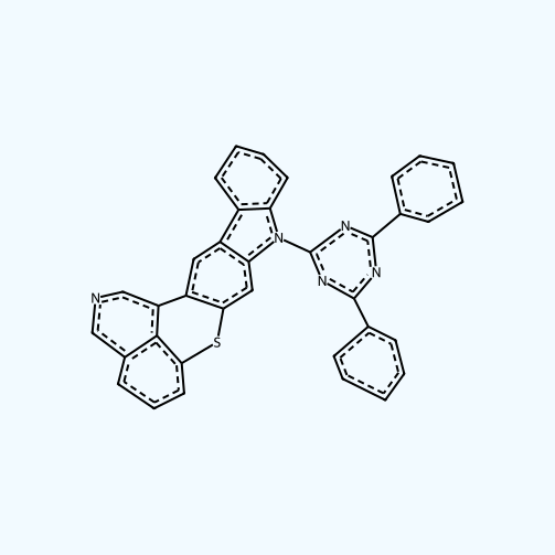 c1ccc(-c2nc(-c3ccccc3)nc(-n3c4ccccc4c4cc5c(cc43)Sc3cccc4cncc-5c34)n2)cc1